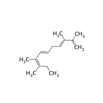 C=C(C)C(C)=CCC=CC(C)=C(C)CC